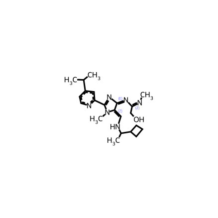 C\N=C(CO)/N=C1/N=C(c2cc(C(C)C)ccn2)N(C)/C1=C\NC(C)C1CCC1